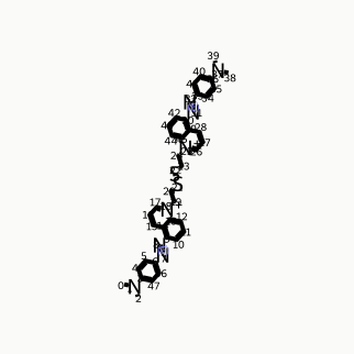 CN(C)c1ccc(/N=N/c2cccc3c2ccc[n+]3CCSSCC[n+]2cccc3c(/N=N/c4ccc(N(C)C)cc4)cccc32)cc1